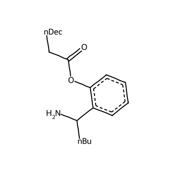 CCCCCCCCCCCC(=O)Oc1ccccc1C(N)CCCC